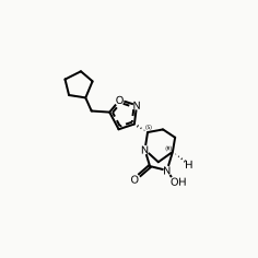 O=C1N(O)[C@@H]2CC[C@@H](c3cc(CC4CCCC4)on3)N1C2